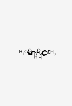 Cc1ccc(CNC(=O)NC2CCN(C)CC2)o1